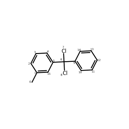 Cc1cccc(C(Cl)(Cl)c2ccccc2)c1